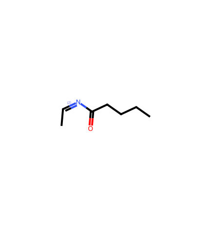 C/C=N\C(=O)CCCC